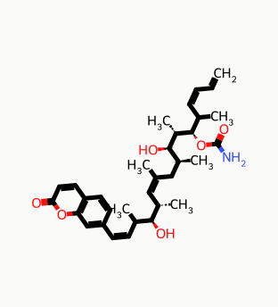 C=C/C=C\C(C)[C@H](OC(N)=O)[C@@H](C)[C@H](O)[C@@H](C)C/C(C)=C\[C@H](C)[C@@H](O)C(C)/C=C\c1ccc2ccc(=O)oc2c1